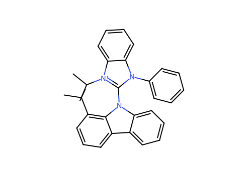 CC(C)c1cccc2c3ccccc3n(-c3n(-c4ccccc4)c4ccccc4[n+]3C(C)C)c12